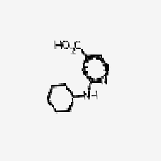 O=C(O)c1ccnc(NC2CCCCC2)c1